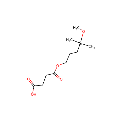 CO[Si](C)(C)CCCOC(=O)CCC(=O)O